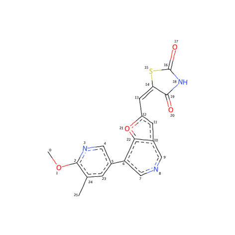 COc1ncc(-c2cncc3cc(/C=C4/SC(=O)NC4=O)oc23)cc1C